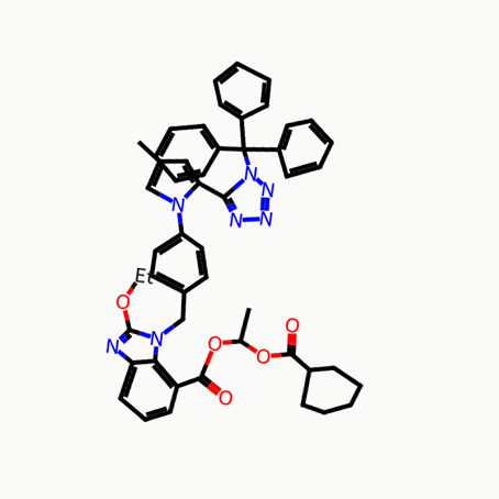 CCOc1nc2cccc(C(=O)OC(C)OC(=O)C3CCCCC3)c2n1Cc1ccc(-n2cc(C)cc2-c2nnnn2C(c2ccccc2)(c2ccccc2)c2ccccc2)cc1